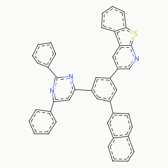 c1ccc(-c2cc(-c3cc(-c4ccc5ccccc5c4)cc(-c4cnc5sc6ccccc6c5c4)c3)nc(-c3ccccc3)n2)cc1